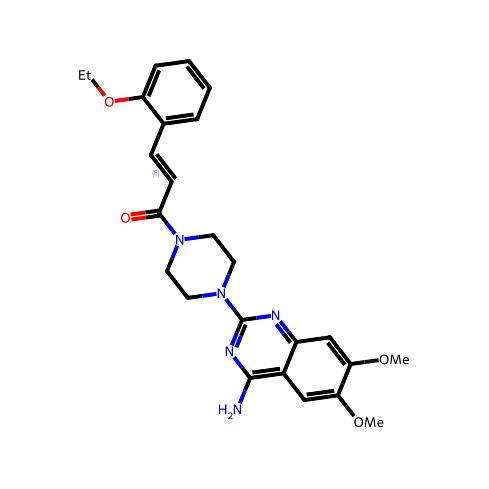 CCOc1ccccc1/C=C/C(=O)N1CCN(c2nc(N)c3cc(OC)c(OC)cc3n2)CC1